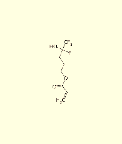 C=CC(=O)OCCCC(O)(F)C(F)(F)F